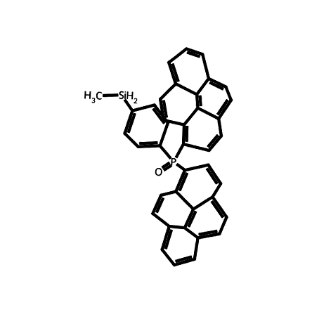 C[SiH2]c1ccc(P(=O)(c2ccc3ccc4cccc5ccc2c3c45)c2ccc3ccc4cccc5ccc2c3c45)cc1